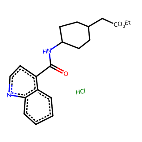 CCOC(=O)CC1CCC(NC(=O)c2ccnc3ccccc23)CC1.Cl